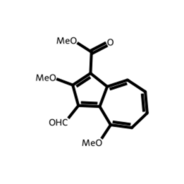 COC(=O)c1c2ccccc(OC)c-2c(C=O)c1OC